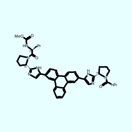 CCCC(=O)N1CCC[C@H]1c1ncc(-c2ccc3c4ccc(-c5cnc([C@@H]6CCCN6C(=O)[C@@H](NC(=O)OC)C(C)C)[nH]5)cc4c4ccccc4c3c2)[nH]1